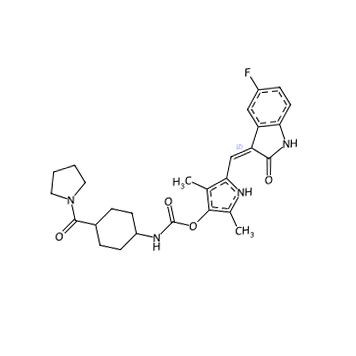 Cc1[nH]c(/C=C2\C(=O)Nc3ccc(F)cc32)c(C)c1OC(=O)NC1CCC(C(=O)N2CCCC2)CC1